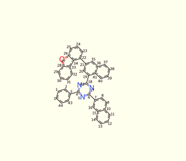 c1ccc(-c2nc(-c3ccc4ccccc4c3)nc(-c3cc(-c4cccc5oc6ccccc6c45)cc4ccccc34)n2)cc1